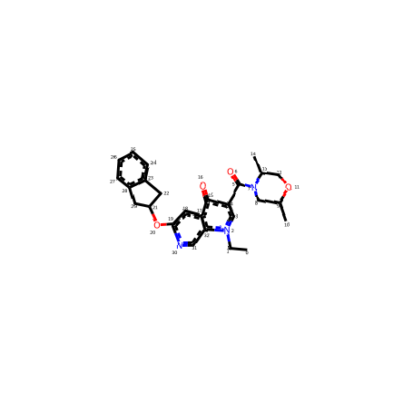 CCn1cc(C(=O)N2CC(C)OCC2C)c(=O)c2cc(OC3Cc4ccccc4C3)ncc21